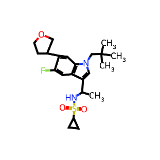 CC(NS(=O)(=O)C1CC1)c1cn(CC(C)(C)C)c2cc(C3CCOC3)c(F)cc12